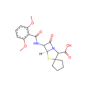 COc1cccc(OC)c1C(=O)NC1C(=O)N2C(C(=O)O)C3(CCCC3)S[C@@H]12